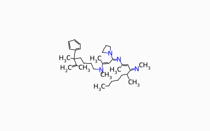 C=C(C)C(C)(CCCCN(C)/C(C)=C/C(=N\C(C)=C\C(=N/C)C(C)CCCCC)N1CCC1)c1ccccc1